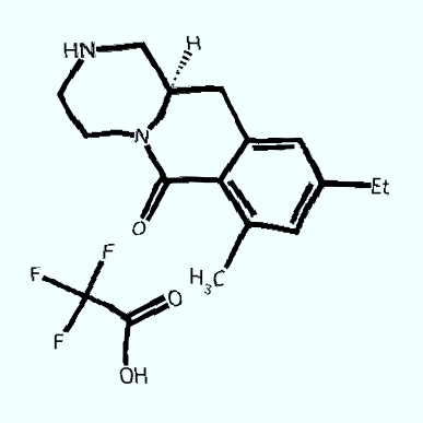 CCc1cc(C)c2c(c1)C[C@@H]1CNCCN1C2=O.O=C(O)C(F)(F)F